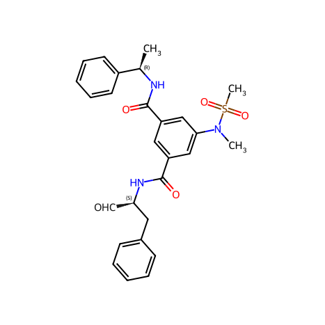 C[C@@H](NC(=O)c1cc(C(=O)N[C@H](C=O)Cc2ccccc2)cc(N(C)S(C)(=O)=O)c1)c1ccccc1